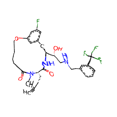 C#CC[C@H]1C(=O)N[C@H]([C@H](O)CNCc2cccc(C(F)(F)F)c2)Cc2cc(F)cc(c2)OCCCCC(=O)N1C